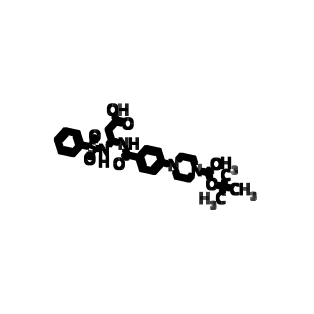 CC(C)(C)OC(=O)N1CCN(c2ccc(C(=O)NC(CC(=O)O)NS(=O)(=O)c3ccccc3)cc2)CC1